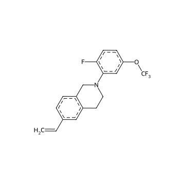 C=Cc1ccc2c(c1)CCN(c1cc(OC(F)(F)F)ccc1F)C2